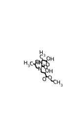 CCOC(=O)C(O)CN(CC(C)C)C(=O)N[C@@H](C)C(=O)O